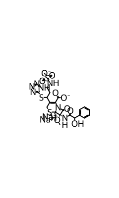 CO[C@]1(NC(=O)C(O)c2ccccc2)C(=O)N2C(C(=O)[O-])=C(C(CCNS(=O)(=O)[O-])Sc3nnn[nH]3)CS[C@H]21.[Na+].[Na+]